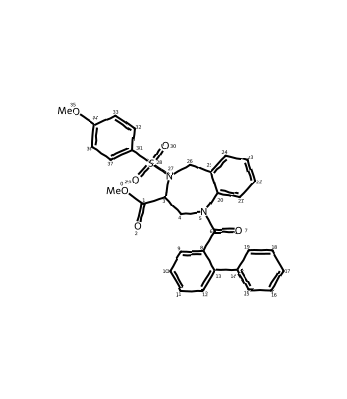 COC(=O)C1CN(C(=O)c2ccccc2-c2ccccc2)c2ccccc2CN1S(=O)(=O)c1ccc(OC)cc1